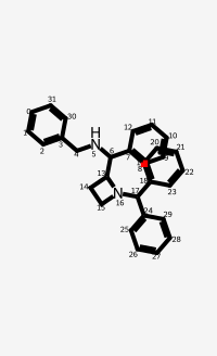 c1ccc(CNC(c2ccccc2)C2CCN2C(c2ccccc2)c2ccccc2)cc1